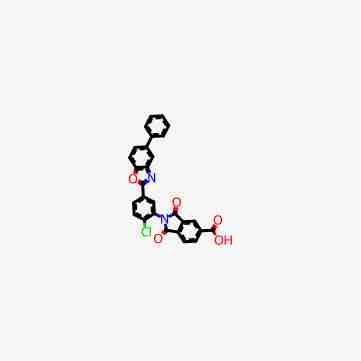 O=C(O)c1ccc2c(c1)C(=O)N(c1cc(-c3nc4cc(-c5ccccc5)ccc4o3)ccc1Cl)C2=O